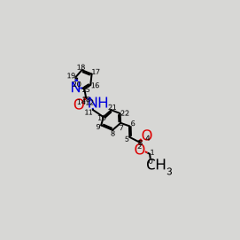 CCOC(=O)C=Cc1ccc(CNC(=O)c2ccccn2)cc1